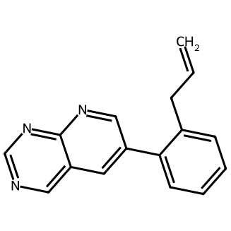 C=CCc1ccccc1-c1cnc2ncncc2c1